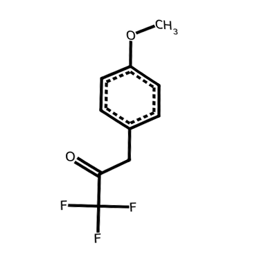 COc1ccc(CC(=O)C(F)(F)F)cc1